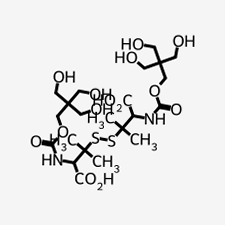 CC(C)(SSC(C)(C)C(NC(=O)OCC(CO)(CO)CO)C(=O)O)C(NC(=O)OCC(CO)(CO)CO)C(=O)O